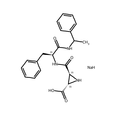 CC(NC(=O)[C@H](Cc1ccccc1)NC(=O)[C@H]1N[C@@H]1C(=O)O)c1ccccc1.[NaH]